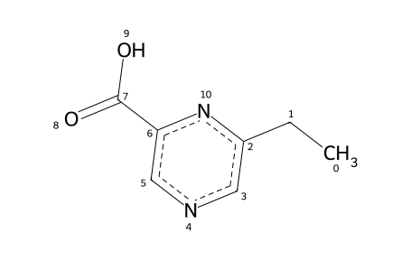 CCc1cncc(C(=O)O)n1